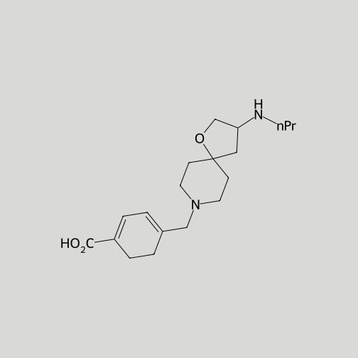 CCCNC1COC2(CCN(CC3=CC=C(C(=O)O)CC3)CC2)C1